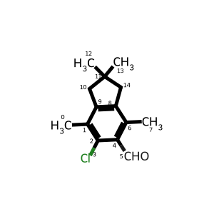 Cc1c(Cl)c(C=O)c(C)c2c1CC(C)(C)C2